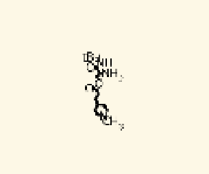 CN1CCC(CCC(=O)OC[C@H](N)C(=O)NC(C)(C)C)CC1